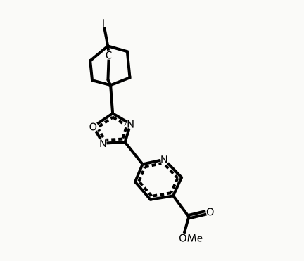 COC(=O)c1ccc(-c2noc(C34CCC(I)(CC3)CC4)n2)nc1